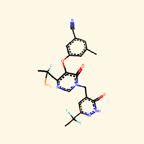 Cc1cc(C#N)cc(Oc2c(C(C)(F)P)ncn(Cc3cc(C(C)(F)F)n[nH]c3=O)c2=O)c1